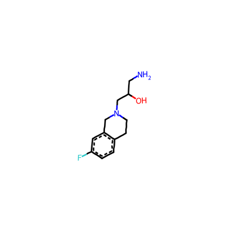 NCC(O)CN1CCc2ccc(F)cc2C1